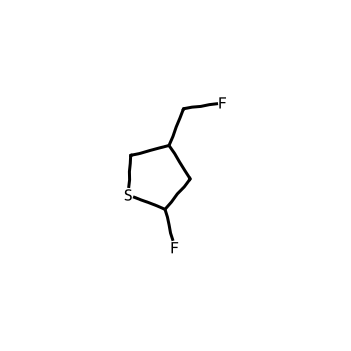 FCC1CSC(F)C1